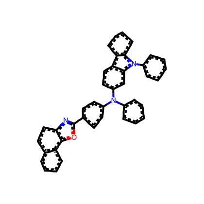 c1ccc(N(c2ccc(-c3nc4ccc5ccccc5c4o3)cc2)c2ccc3c4ccccc4n(-c4ccccc4)c3c2)cc1